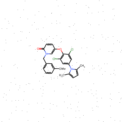 COc1cccc(Cn2cc(Oc3c(Cl)cc(-n4c(C)ccc4C)cc3Cl)ccc2=O)c1